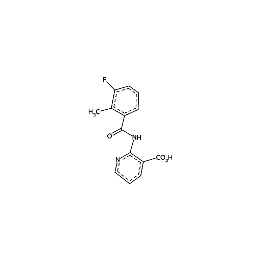 Cc1c(F)cccc1C(=O)Nc1ncccc1C(=O)O